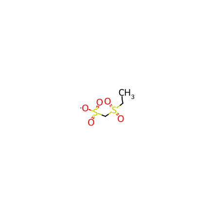 CCS(=O)(=O)CS([O])(=O)=O